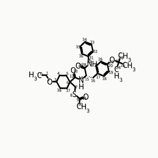 CCOC1CCC(CSC(C)=O)(C(=O)N[C@@H](Cc2ccc(OC(C)(C)C)cc2)C(=O)Nc2ccccc2)CC1